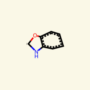 [C]1Nc2ccccc2O1